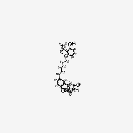 CN(C)C(=O)c1c(O)cccc1OCCCCCCc1ccc(O)c(N2CC(=O)NS2(=O)=O)c1